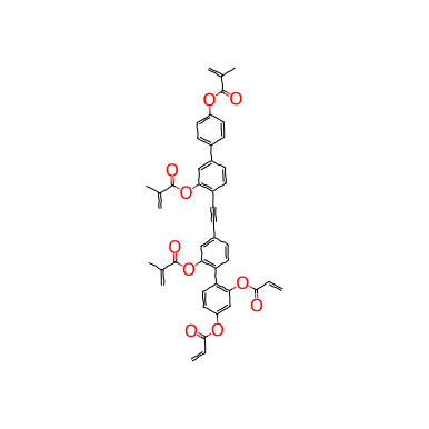 C=CC(=O)Oc1ccc(-c2ccc(C#Cc3ccc(-c4ccc(OC(=O)C(=C)C)cc4)cc3OC(=O)C(=C)C)cc2OC(=O)C(=C)C)c(OC(=O)C=C)c1